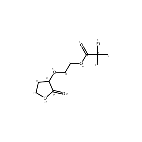 CCC(C)(C)C(=O)OCCOC1CCOC1=O